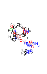 CNN(C)Cc1ccn(CCC(=O)N[C@@H](CC(N)=O)C(=O)NCCOCCOCCC(=O)N(C)[C@@H](C)C(=O)O[C@H]2CC(=O)N(C)c3cc(cc(OC)c3Cl)C/C(C)=C/C=C/[C@@H](OC)[C@@]3(O)C[C@H](OC(=O)N3)[C@@H](C)C3O[C@]32C)c1